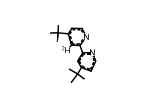 [2H]c1c(C(C)(C)C)ccnc1-c1cc(C(C)(C)C)ccn1